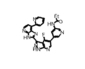 CCC(=O)Nc1cncc(-c2cnc3[nH]nc(-c4nc5c(-c6ccccn6)ccnc5[nH]4)c3c2F)c1